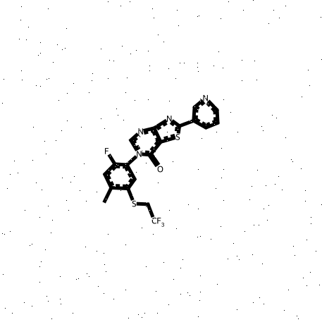 Cc1cc(F)c(-n2cnc3nc(-c4cccnc4)sc3c2=O)cc1SCC(F)(F)F